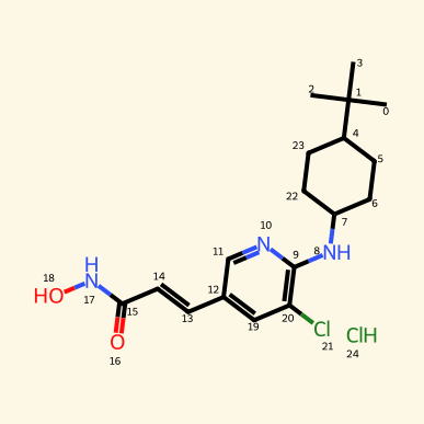 CC(C)(C)C1CCC(Nc2ncc(C=CC(=O)NO)cc2Cl)CC1.Cl